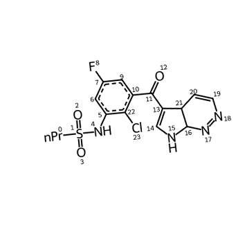 CCCS(=O)(=O)Nc1cc(F)cc(C(=O)C2=CNC3N=NC=CC23)c1Cl